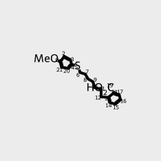 COc1ccc(SCCCCCCCc2ccccc2C(=O)O)cc1